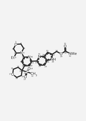 CCC1COCCN1c1cc(C2(S(C)(=O)=O)CCOCC2)cc(-c2ccc3[nH]c(COC(=O)NC)cc3n2)n1